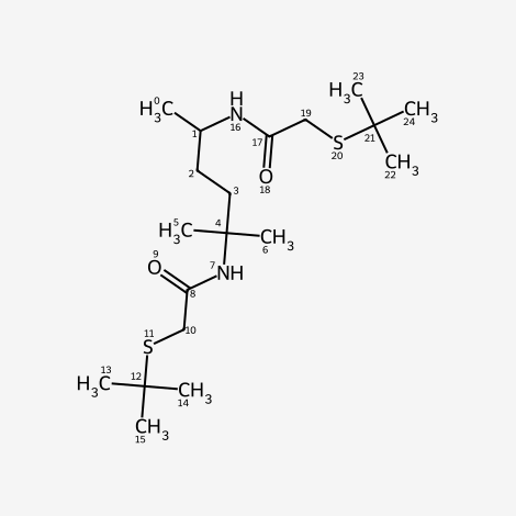 CC(CCC(C)(C)NC(=O)CSC(C)(C)C)NC(=O)CSC(C)(C)C